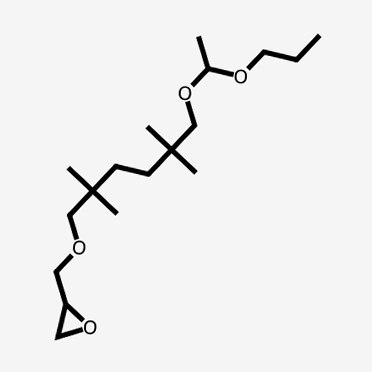 CCCOC(C)OCC(C)(C)CCC(C)(C)COCC1CO1